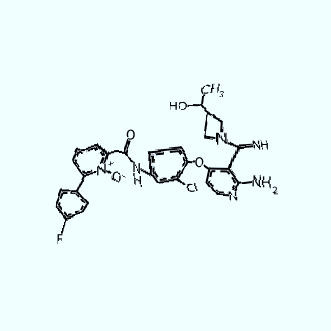 CC(O)C1CN(C(=N)c2c(Oc3ccc(NC(=O)c4cccc(-c5ccc(F)cc5)[n+]4[O-])cc3Cl)ccnc2N)C1